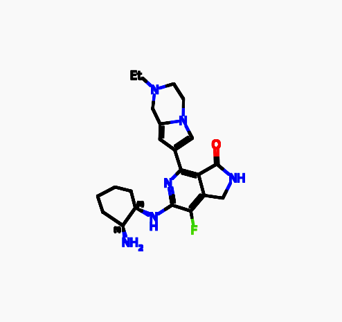 CCN1CCn2cc(-c3nc(N[C@@H]4CCCC[C@@H]4N)c(F)c4c3C(=O)NC4)cc2C1